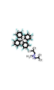 CCC(CC)C[NH+](C)CC(CC)CC.Fc1c(F)c(F)c([B-](c2c(F)c(F)c(F)c(F)c2F)(c2c(F)c(F)c(F)c(F)c2F)c2c(F)c(F)c(F)c(F)c2F)c(F)c1F